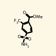 COC(=O)c1ccc(S(N)(=O)=O)cc1C(F)(F)F